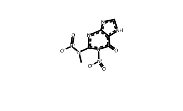 CN(c1nc2nc[nH]c2c(=O)n1[N+](=O)[O-])[N+](=O)[O-]